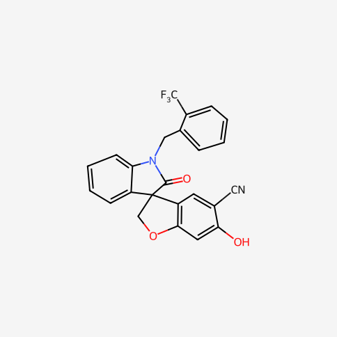 N#Cc1cc2c(cc1O)OCC21C(=O)N(Cc2ccccc2C(F)(F)F)c2ccccc21